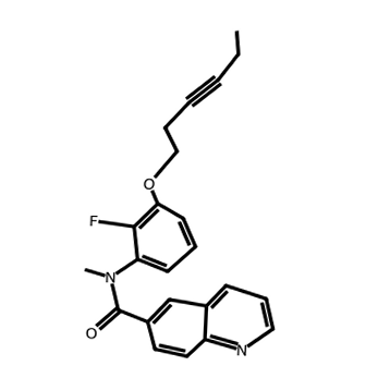 CCC#CCCOc1cccc(N(C)C(=O)c2ccc3ncccc3c2)c1F